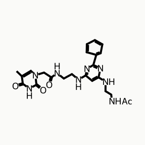 CC(=O)NCCNc1cc(NCCNC(=O)Cn2cc(C)c(=O)[nH]c2=O)nc(-c2ccccc2)n1